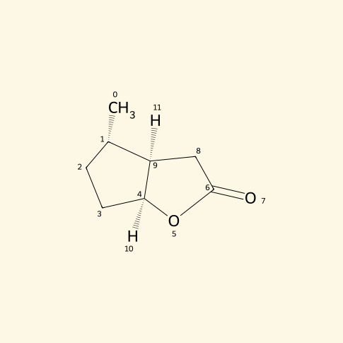 C[C@H]1CC[C@@H]2OC(=O)C[C@@H]21